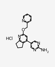 Cl.Nc1ncc(-c2cc(OCc3ccccn3)nc3c2CCC3)cn1